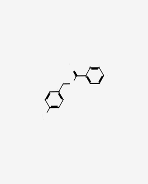 O=C(SCc1ccc(O)cc1)c1ccccc1